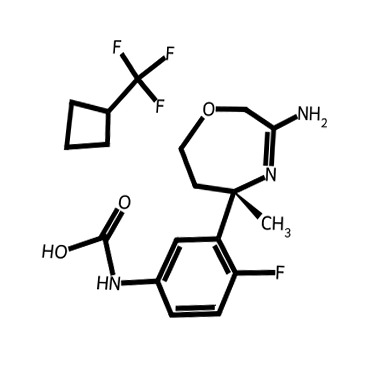 C[C@@]1(c2cc(NC(=O)O)ccc2F)CCOCC(N)=N1.FC(F)(F)C1CCC1